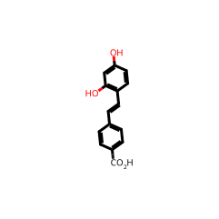 O=C(O)c1ccc(C=Cc2ccc(O)cc2O)cc1